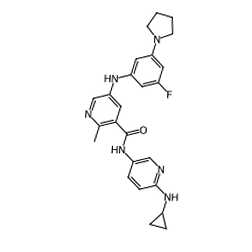 Cc1ncc(Nc2cc(F)cc(N3CCCC3)c2)cc1C(=O)Nc1ccc(NC2CC2)nc1